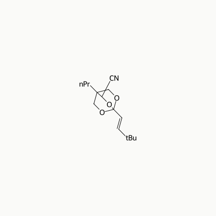 CCCC12COC(/C=C/C(C)(C)C)(OC1)OC2C#N